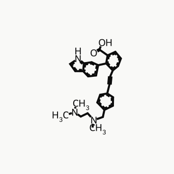 CN(C)CCN(C)Cc1ccc(C#Cc2cccc(C(=O)O)c2-c2ccc3cc[nH]c3c2)cc1